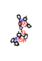 Cc1cc(C2=C(OCC3CCC[C@@H]3COc3ccccc3-c3cc(C)cc(-n4c5ccccc5c5ccccc54)c3O)C=CCC2)c(O)c(-n2c3ccccc3c3ccccc32)c1